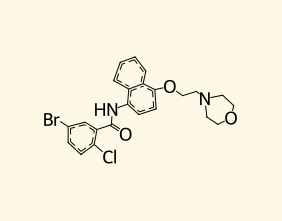 O=C(Nc1ccc(OCCN2CCOCC2)c2ccccc12)c1cc(Br)ccc1Cl